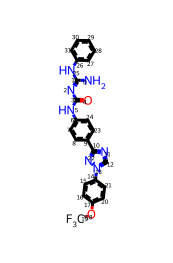 N/C(=N\C(=O)Nc1ccc(-c2ncn(-c3ccc(OC(F)(F)F)cc3)n2)cc1)Nc1ccccc1